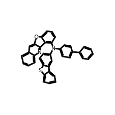 c1ccc(-c2ccc(N(c3ccc4sc5ccccc5c4c3)c3cccc4oc5cc6ccccc6nc5c34)cc2)cc1